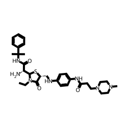 CCN1C(=O)[C@@H](CNc2ccc(NC(=O)CCN3CCN(C)CC3)cc2)SC1[C@H](N)C(=O)NC(C)(C)c1ccccc1